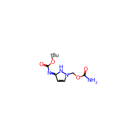 CC(C)(C)OC(=O)N=c1ccn(COC(N)=O)[nH]1